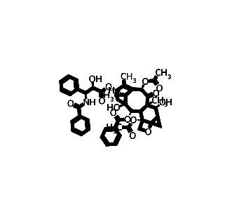 CC(=O)O[C@H]1C(=O)[C@@]2(C)C([C@H](OC(=O)c3ccccc3)[C@]3(O)C[C@H](OC(=O)[C@H](O)[C@@H](NC(=O)c4ccccc4)c4ccccc4)C(C)=C1C3(C)C)[C@]1(OC(C)=O)COC13CC3[C@@H]2O